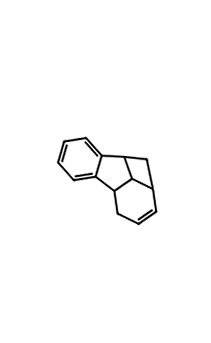 C1=CC2CC3c4ccccc4C(C1)C23